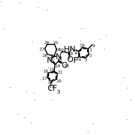 Cc1ccc(F)c(NC(=O)CN2C(=O)C(c3ccc(C(F)(F)F)cc3)=NC23CCCCC3)c1